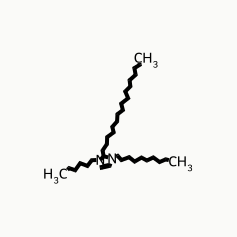 CCCCCCCCCCCCCCCCCC1N(CCCCCC)C=CN1CCCCCCCCCC